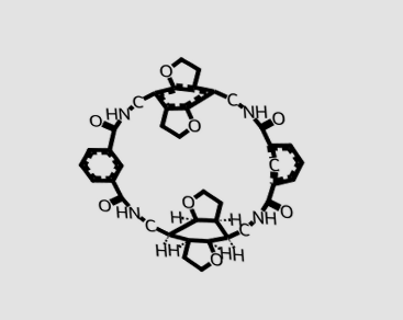 O=C1NCc2c3c(c(c4c2OCC4)CNC(=O)c2cccc(c2)C(=O)NC[C@@H]2[C@@H]4CCO[C@@H]4[C@H](CNC(=O)c4cccc1c4)[C@@H]1CCO[C@H]21)OCC3